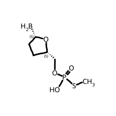 B[C@H]1CC[C@@H](COP(=O)(O)SC)O1